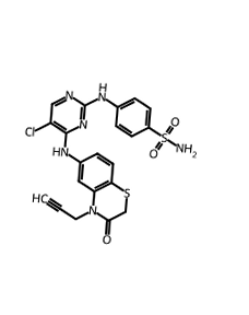 C#CCN1C(=O)CSc2ccc(Nc3nc(Nc4ccc(S(N)(=O)=O)cc4)ncc3Cl)cc21